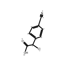 N#Cc1ccc(C(Cl)C(=O)O)cc1